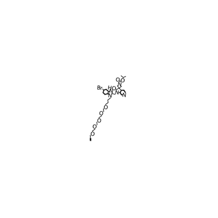 C#CCOCCOCCOCCOCCOCCCCn1c(CN2c3cnccc3C3(CN(C(=O)OC(C)C)C3)C2O)nc2cc(Br)ccc21